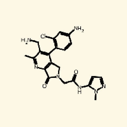 Cc1nc2c(c(-c3ccc(N)cc3Cl)c1CN)CN(CC(=O)Nc1ccnn1C)C2=O